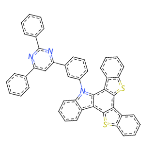 c1ccc(-c2cc(-c3cccc(-n4c5ccccc5c5c6sc7ccccc7c6c6sc7ccccc7c6c54)c3)nc(-c3ccccc3)n2)cc1